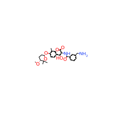 CO[C@@H]1CC[C@H](Oc2ccc3c(O)c(NC(=O)c4cccc(CN)c4)c(=O)oc3c2C)OC1(C)C